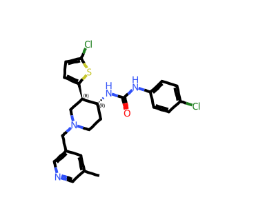 Cc1cncc(CN2CC[C@@H](NC(=O)Nc3ccc(Cl)cc3)[C@H](c3ccc(Cl)s3)C2)c1